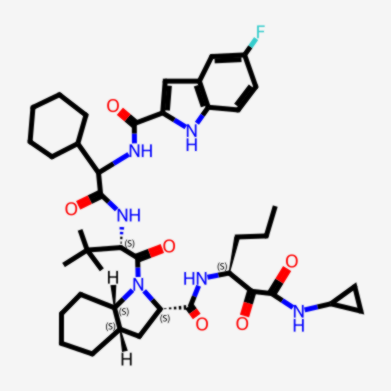 CCC[C@H](NC(=O)[C@@H]1C[C@@H]2CCCC[C@@H]2N1C(=O)[C@@H](NC(=O)C(NC(=O)c1cc2cc(F)ccc2[nH]1)C1CCCCC1)C(C)(C)C)C(=O)C(=O)NC1CC1